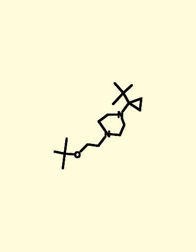 CC(C)(C)OCCN1CCN(C2(C(C)(C)C)CC2)CC1